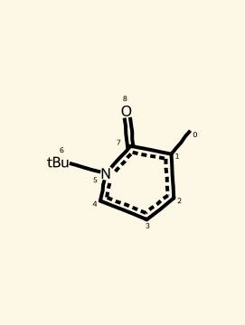 Cc1cccn(C(C)(C)C)c1=O